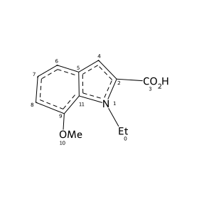 CCn1c(C(=O)O)cc2cccc(OC)c21